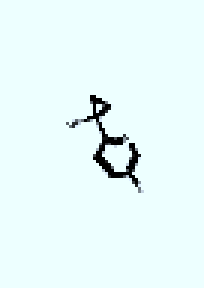 O=[C]C1(c2ccc(Cl)cn2)CC1